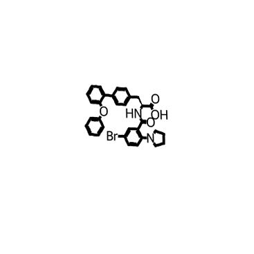 O=C(N[C@@H](Cc1ccc(-c2ccccc2Oc2ccccc2)cc1)C(=O)O)c1cc(Br)ccc1N1CCCC1